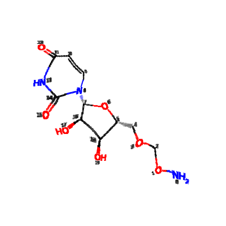 NOCOC[C@H]1O[C@@H](n2ccc(=O)[nH]c2=O)[C@H](O)[C@@H]1O